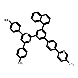 Cc1ccc(-c2cc(-c3ccc(C)cc3)nc(-c3cc(-c4ccc(-c5ccc(C)cn5)cc4)cc(-c4cccc5ccccc45)c3)n2)cc1